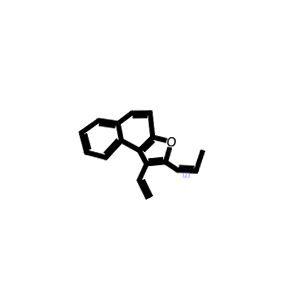 C=Cc1c(/C=C\C)oc2ccc3ccccc3c12